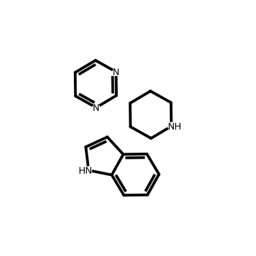 C1CCNCC1.c1ccc2[nH]ccc2c1.c1cncnc1